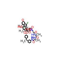 C[C@@H](c1ccc([C@@H]2O[C@@H]3C[C@H]4[C@@H]5C[C@H](F)C6=CC(=O)C=C[C@]6(C)[C@@]5(F)[C@@H](O)C[C@]4(C)[C@]3(C(=O)CO)O2)cc1)c1cccc(NC(=O)[C@H](C)NC(=O)[C@H](C)NC(=O)CCN2C(=O)C=CC2=O)c1